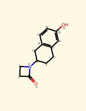 O=C1CCN1C1CCc2cc(O)ccc2C1